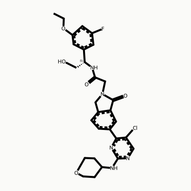 CCOc1cc(F)cc([C@@H](CO)NC(=O)CN2Cc3ccc(-c4nc(NC5CCOCC5)ncc4Cl)cc3C2=O)c1